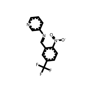 O=[N+]([O-])c1ccc(C(F)(F)F)cc1C=Nc1cccnc1